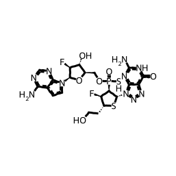 Nc1nc2c(nnn2[C@@H]2S[C@H](CCO)[C@@H](F)[C@H]2P(=O)(S)OC[C@H]2O[C@@H](n3ccc4c(N)ncnc43)[C@@H](F)[C@@H]2O)c(=O)[nH]1